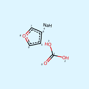 O=C(O)O.[NaH].c1ccoc1